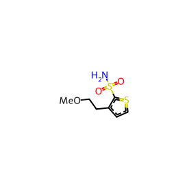 COCCc1ccsc1S(N)(=O)=O